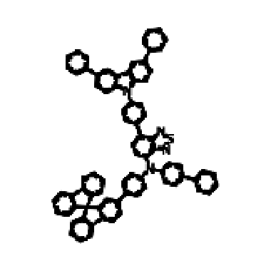 c1ccc(-c2ccc(N(c3ccc(-c4ccc5c(c4)C4(c6ccccc6-c6ccccc64)c4ccccc4-5)cc3)c3ccc(-c4ccc(-n5c6ccc(-c7ccccc7)cc6c6cc(-c7ccccc7)ccc65)cc4)c4nsnc34)cc2)cc1